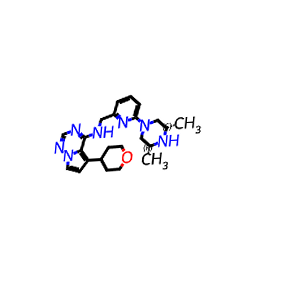 C[C@@H]1CN(c2cccc(CNc3ncnn4ccc(C5CCOCC5)c34)n2)C[C@H](C)N1